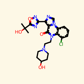 CC(C)(O)c1nc(-c2ncn3c2c(=O)n(CCN2CCC(O)CC2)c2c(Cl)cccc23)no1